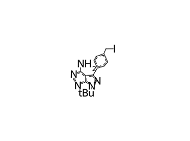 CC(C)(C)n1nc(-c2ccc(CI)cc2)c2c(N)ncnc21